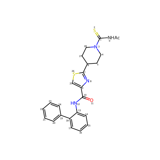 CC(=O)NC(=S)N1CCC(c2nc(C(=O)Nc3ccccc3-c3ccccc3)cs2)CC1